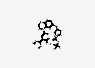 C=N/C(OC)=C(\C=C(/C)N1CCOc2ccc(O[C@H]3CCN(C(=O)OC(C)(C)C)C3)cc21)C(=O)O